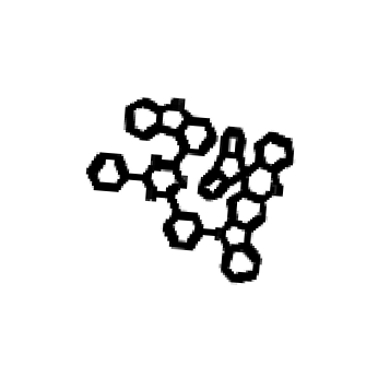 c1ccc(-c2nc(-c3cccc(-n4c5ccccc5c5cc6c(cc54)C4(c5ccccc5O6)c5ccccc5-c5ccccc54)c3)nc(-c3cccc4oc5ccccc5c34)n2)cc1